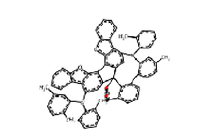 Cc1ccc(C)c(N(c2ccccc2C)c2cc3c(c4oc5ccccc5c24)-c2c4cc(c5c2oc2ccccc25)N(c2ccccc2C)c2cc(C)ccc2-c2cccc5c2C34c2ccccc2-5)c1